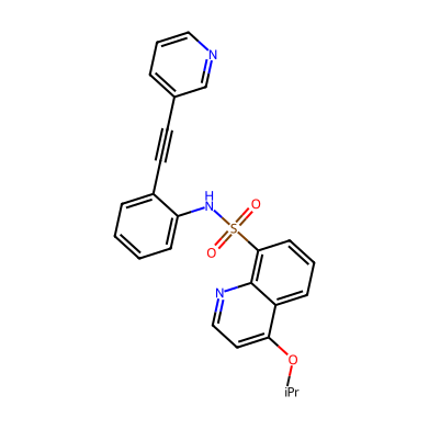 CC(C)Oc1ccnc2c(S(=O)(=O)Nc3ccccc3C#Cc3cccnc3)cccc12